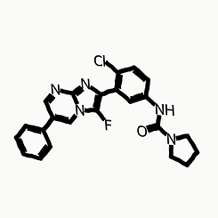 O=C(Nc1ccc(Cl)c(-c2nc3ncc(-c4ccccc4)cn3c2F)c1)N1CCCC1